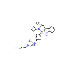 C[C@@H]1Cc2c([nH]c3ccccc23)[C@@H](c2ccc(N[C@@H]3CN(CCCF)C[C@@H]3F)cc2)N1C12CC(C1)C2